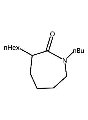 CCCCCCC1CCCCN(CCCC)C1=O